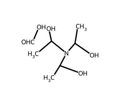 CC(O)N(C(C)O)C(C)O.O=CO